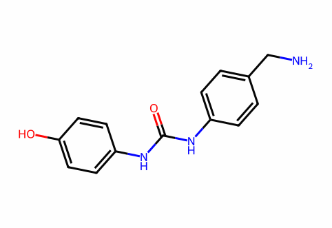 NCc1ccc(NC(=O)Nc2ccc(O)cc2)cc1